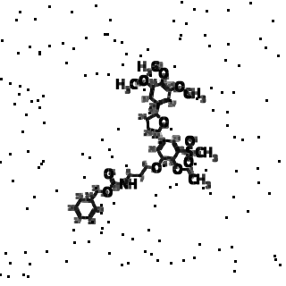 CCOc1c(OCCCNC(=O)OCc2ccccc2)cc([C@@H]2CC[C@@H](c3cc(OC)c(OC)c(OC)c3)O2)cc1S(C)(=O)=O